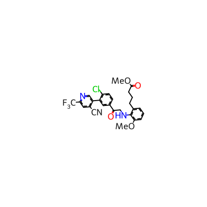 COC(=O)CCCc1cccc(OC)c1NCC(=O)c1ccc(Cl)c(-c2cnc(C(F)(F)F)cc2C#N)c1